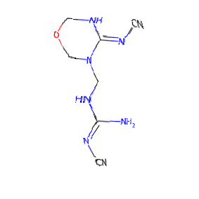 N#C/N=C(\N)NCN1COCN/C1=N\C#N